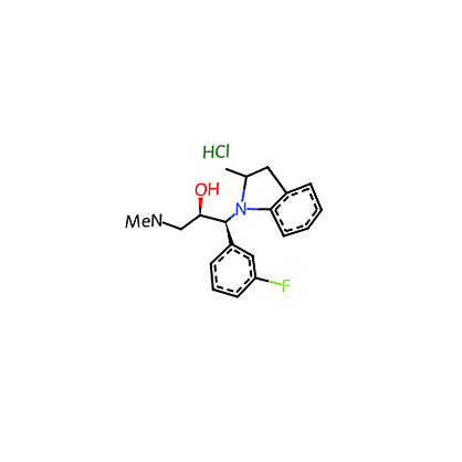 CNC[C@@H](O)[C@H](c1cccc(F)c1)N1c2ccccc2CC1C.Cl